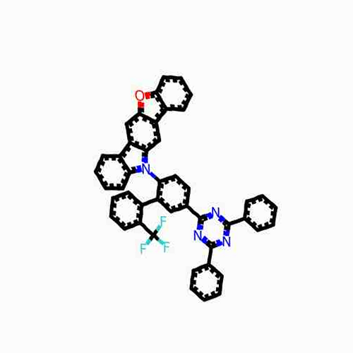 FC(F)(F)c1ccccc1-c1cc(-c2nc(-c3ccccc3)nc(-c3ccccc3)n2)ccc1-n1c2ccccc2c2cc3oc4ccccc4c3cc21